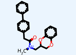 C=[N+](CC1COc2ccccc2O1)C(=O)Cc1ccc(-c2ccccc2)cc1